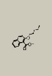 CCCCCOc1ccc2ccccc2c1C(=O)O